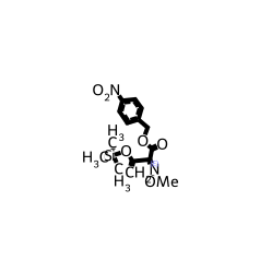 C=C(O[Si](C)(C)C)/C(=N\OC)C(=O)OCc1ccc([N+](=O)[O-])cc1